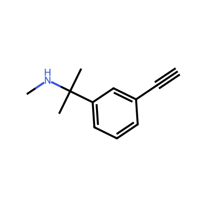 C#Cc1cccc(C(C)(C)NC)c1